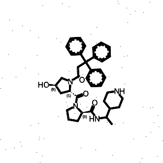 CC(NC(=O)[C@H]1CCCN1C(=O)[C@@H]1C[C@@H](O)CN1C(=O)CC(c1ccccc1)(c1ccccc1)c1ccccc1)C1CCNCC1